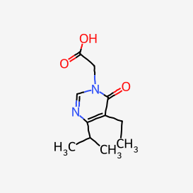 CCc1c(C(C)C)ncn(CC(=O)O)c1=O